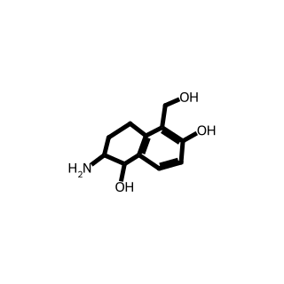 NC1CCc2c(ccc(O)c2CO)C1O